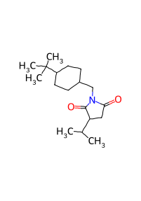 CC(C)C1CC(=O)N(CC2CCC(C(C)(C)C)CC2)C1=O